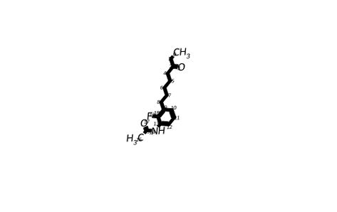 CCC(=O)CCCCCc1cccc(NC(C)=O)c1F